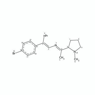 CCC/C(=C\N=C(/C)C1CCCN1C)c1ccc(Br)cc1